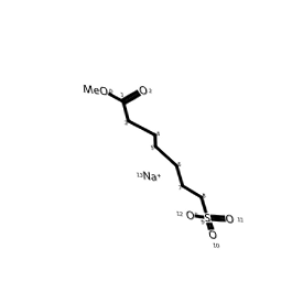 COC(=O)CCCCCCS(=O)(=O)[O-].[Na+]